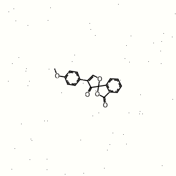 COc1ccc(C2=COC3(OC(=O)c4ccccc43)C2=O)cc1